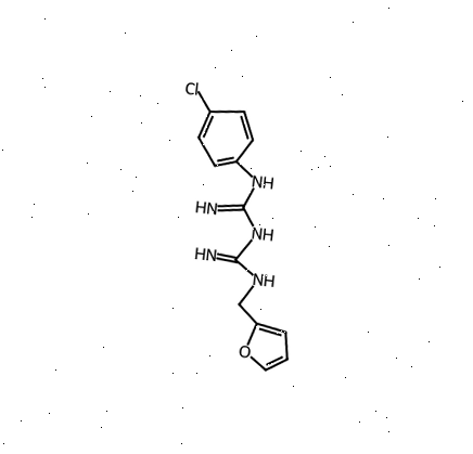 N=C(NCc1ccco1)NC(=N)Nc1ccc(Cl)cc1